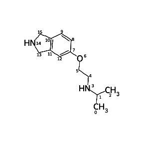 CC(C)NCCOc1ccc2c(c1)CNC2